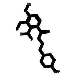 CCCC1CCC(CCCC(=O)c2ccc(OCC)c(CF)c2C(F)F)CC1